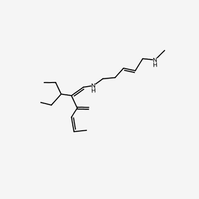 C=C(/C=C\C)/C(=C\NCC/C=C/CNC)C(CC)CC